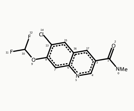 CNC(=O)c1cnc2cc(OC(F)F)c(Cl)cc2c1